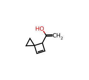 C=C(O)C1C=CC12CC2